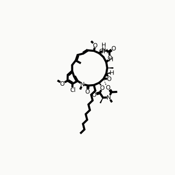 CCCCCCCCCCC1C(=O)N(C)c2cc(cc(OC)c2Cl)C/C(C)=C/C=C/C(OC)[C@@]2(O)C[C@H](OC(=O)N2)[C@@H](C)[C@@H]2O[C@@]2(C)[C@H]1OC(=O)[C@H](C)N(C)C(C)=O